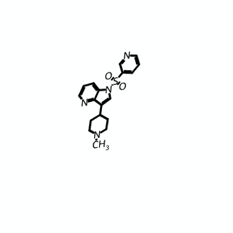 CN1CCC(c2cn(S(=O)(=O)c3cccnc3)c3cccnc23)CC1